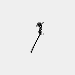 CCCCCCCCCCCCCCCCCCCCNc1ccc(N=Nc2ccc([N+](=O)[O-])c([N+](=O)[O-])c2)cc1